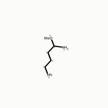 [CH2]CCCCCC(N)OC